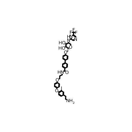 NCCc1ccc(Oc2ccc(OCCCNC(=O)c3ccc(-c4ccc(OC[C@H]5OC[C@H](Nc6cncc(C(F)(F)F)n6)[C@@H](O)[C@H]5O)cc4)cc3)cc2)c(I)c1